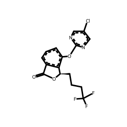 O=C1O[C@H](CCCC(F)(F)F)c2c(Oc3ncc(Cl)cn3)cccc21